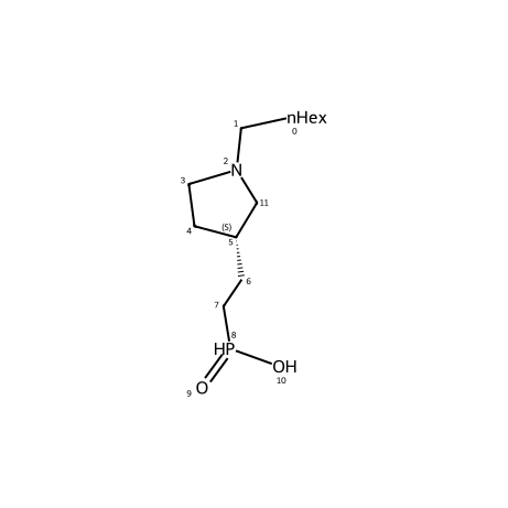 CCCCCCCN1CC[C@@H](CC[PH](=O)O)C1